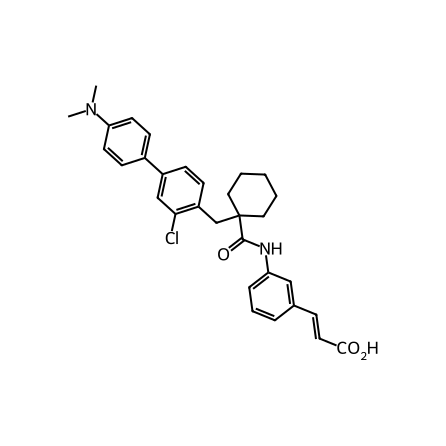 CN(C)c1ccc(-c2ccc(CC3(C(=O)Nc4cccc(/C=C/C(=O)O)c4)CCCCC3)c(Cl)c2)cc1